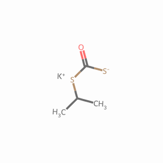 CC(C)SC(=O)[S-].[K+]